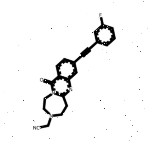 N#CCN1CCc2nc3cc(C#Cc4cccc(F)c4)ccc3c(=O)n2CC1